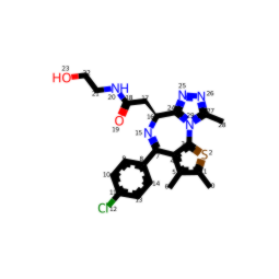 Cc1sc2c(c1C)C(c1ccc(Cl)cc1)=N[C@@H](CC(=O)NCCO)c1nnc(C)n1-2